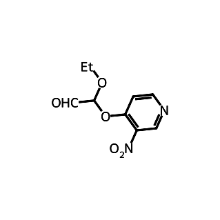 CCOC(C=O)Oc1ccncc1[N+](=O)[O-]